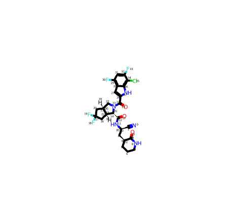 N#C[C@@H](C[C@@H]1CCCNC1=O)NC(=O)[C@@H]1[C@H]2CC(F)(F)C[C@H]2CN1C(=O)c1cc2c(F)cc(F)c(Cl)c2[nH]1